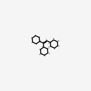 C(=C(C1CCCCC1)C1CCCCC1)C1CCCCC1